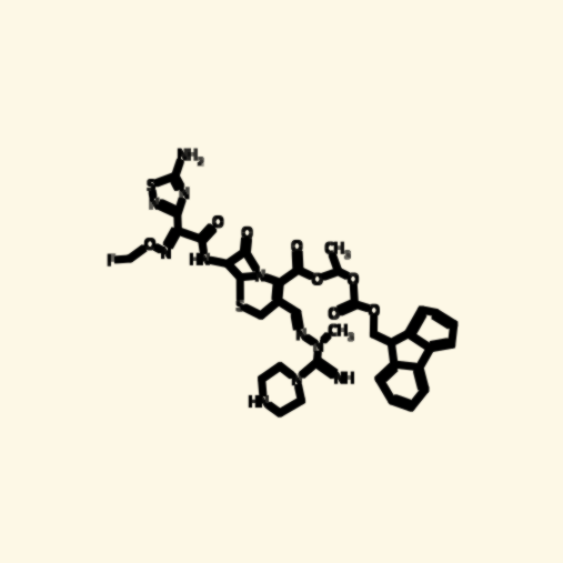 CC(OC(=O)OCC1c2ccccc2-c2ccccc21)OC(=O)C1=C(C=NN(C)C(=N)N2CCNCC2)CSC2C(NC(=O)C(=NOCF)c3nsc(N)n3)C(=O)N12